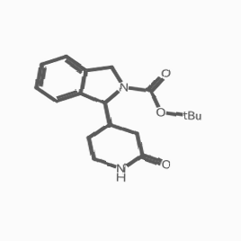 CC(C)(C)OC(=O)N1Cc2ccccc2C1C1CCNC(=O)C1